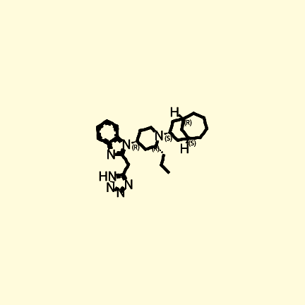 CCC[C@@H]1C[C@H](n2c(Cc3nnn[nH]3)nc3ccccc32)CCN1[C@@H]1C[C@@H]2CCCC[C@@H](C2)C1